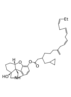 C=C(C/C=C\C/C=C\C/C=C\CC)CCCC(CC(=O)Oc1ccc2c3c1O[C@H]1CCC[C@@]4(O)C(C2)NCC[C@]314)CC1CC1